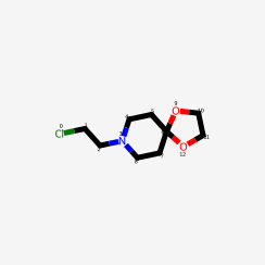 ClCCN1CCC2(CC1)OCCO2